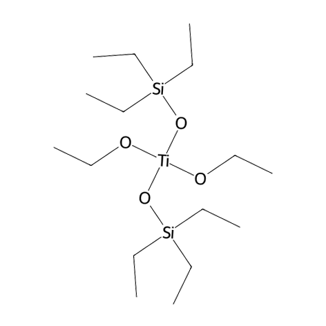 CC[O][Ti]([O]CC)([O][Si](CC)(CC)CC)[O][Si](CC)(CC)CC